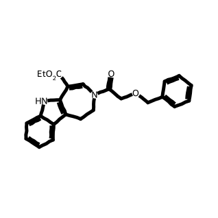 CCOC(=O)C1=CN(C(=O)COCc2ccccc2)CCc2c1[nH]c1ccccc21